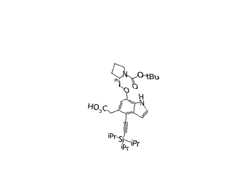 CC(C)[Si](C#Cc1c(CC(=O)O)cc(OC[C@H]2CCCN2C(=O)OC(C)(C)C)c2[nH]ccc12)(C(C)C)C(C)C